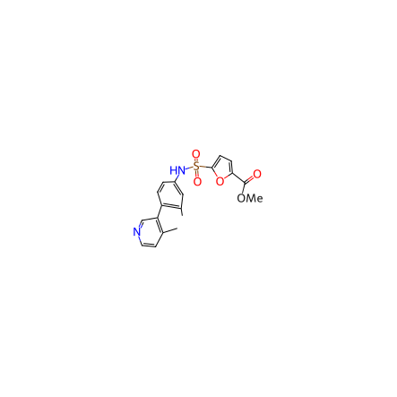 COC(=O)c1ccc(S(=O)(=O)Nc2ccc(-c3cnccc3C)c(C)c2)o1